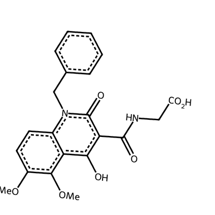 COc1ccc2c(c(O)c(C(=O)NCC(=O)O)c(=O)n2Cc2ccccc2)c1OC